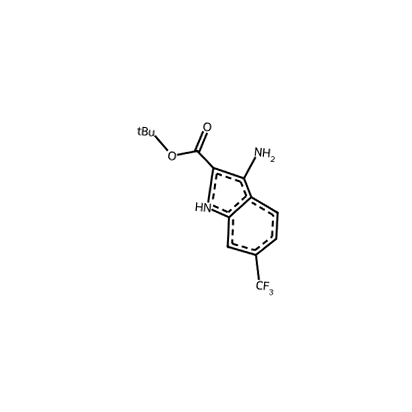 CC(C)(C)OC(=O)c1[nH]c2cc(C(F)(F)F)ccc2c1N